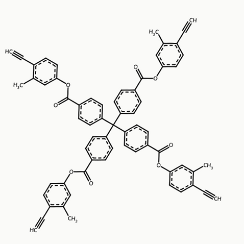 C#Cc1ccc(OC(=O)c2ccc(C(c3ccc(C(=O)Oc4ccc(C#C)c(C)c4)cc3)(c3ccc(C(=O)Oc4ccc(C#C)c(C)c4)cc3)c3ccc(C(=O)Oc4ccc(C#C)c(C)c4)cc3)cc2)cc1C